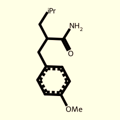 COc1ccc(CC(CC(C)C)C(N)=O)cc1